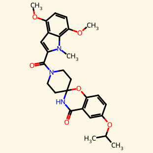 COc1ccc(OC)c2c1cc(C(=O)N1CCC3(CC1)NC(=O)c1cc(OC(C)C)ccc1O3)n2C